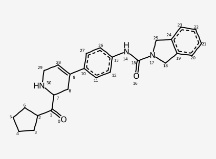 O=C(C1CCCC1)C1CC(c2ccc(NC(=O)N3Cc4ccccc4C3)cc2)=CCN1